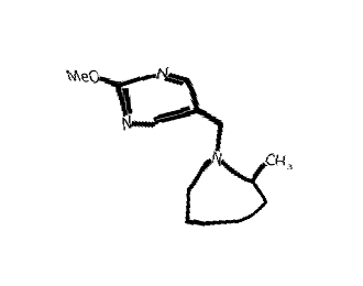 COc1ncc(CN2CCCCC2C)cn1